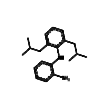 CC(C)Cc1cccc(CC(C)C)c1Nc1ccccc1N